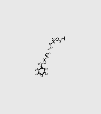 O=C(O)CCCCCOCCOCc1ccccc1